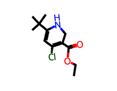 CCOC(=O)C1=C(Cl)C=C(C(C)(C)C)NC1